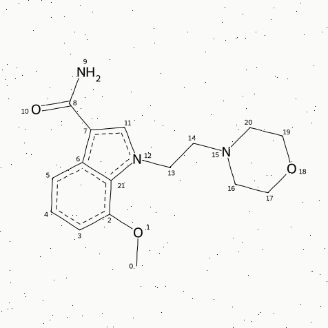 COc1cccc2c(C(N)=O)cn(CCN3CCOCC3)c12